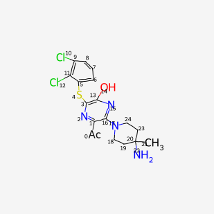 CC(=O)c1nc(Sc2cccc(Cl)c2Cl)c(O)nc1N1CCC(C)(N)CC1